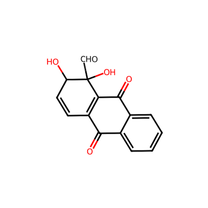 O=CC1(O)C2=C(C=CC1O)C(=O)c1ccccc1C2=O